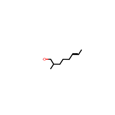 C/C=C/CCCC(C)C[O]